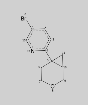 Brc1ccc(C23CCOCC2C3)nc1